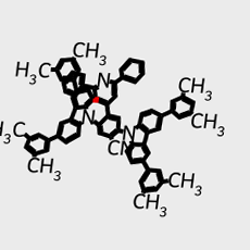 Cc1cc(C)cc(-c2ccc3c(c2)c2cc(-c4cc(C)cc(C)c4)ccc2n3-c2cc(-c3cc(-c4ccccc4)nc(-c4ccccc4)c3)c(-n3c4ccc(-c5cc(C)cc(C)c5)cc4c4cc(-c5cc(C)cc(C)c5)ccc43)cc2C#N)c1